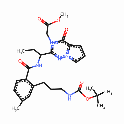 CCC(NC(=O)c1ccc(C)cc1CCCNC(=O)OC(C)(C)C)c1nn2cccc2c(=O)n1CC(=O)OC